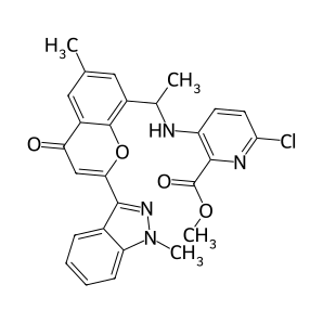 COC(=O)c1nc(Cl)ccc1NC(C)c1cc(C)cc2c(=O)cc(-c3nn(C)c4ccccc34)oc12